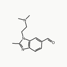 Cc1nc2ccc(C=O)cc2n1CCN(C)C